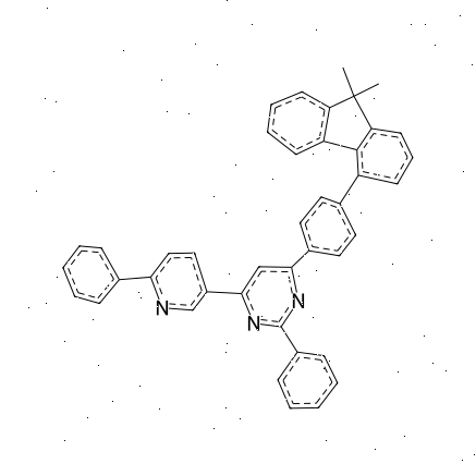 CC1(C)c2ccccc2-c2c(-c3ccc(-c4cc(-c5ccc(-c6ccccc6)nc5)nc(-c5ccccc5)n4)cc3)cccc21